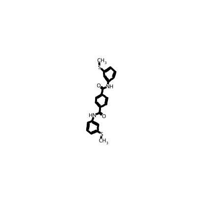 CSc1cccc(NC(=O)c2ccc(C(=O)Nc3cccc(SC)c3)cc2)c1